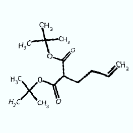 C=CCCC(C(=O)OC(C)(C)C)C(=O)OC(C)(C)C